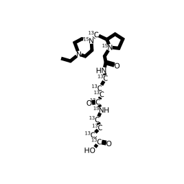 CCN1CC[15N]([13CH2]C2CCC[15N]2CC(=O)N[13CH2][13CH2][13CH2][13C](=O)[15NH][13CH2][13CH2][13CH2][13C](=O)O)CC1